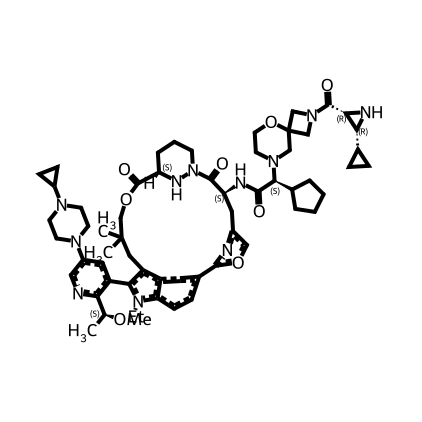 CCn1c(-c2cc(N3CCN(C4CC4)CC3)cnc2[C@H](C)OC)c2c3cc(ccc31)-c1nc(co1)C[C@H](NC(=O)[C@H](C1CCCC1)N1CCOC3(CN(C(=O)[C@@H]4N[C@@H]4C4CC4)C3)C1)C(=O)N1CCC[C@H](N1)C(=O)OCC(C)(C)C2